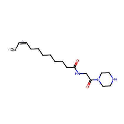 CCCCCCCC/C=C\CCCCCCCC(=O)NCC(=O)N1CCNCC1